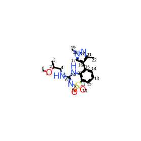 COC(C)CNC1=NS(=O)(=O)c2cccc(-c3cn(C)nc3C)c2N1